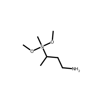 CO[Si](C)(OC)C(C)CCN